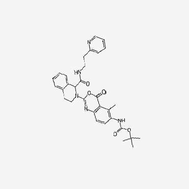 Cc1c(NC(=O)OC(C)(C)C)ccc2nc(N3CCc4ccccc4C3C(=O)NCCc3ccccn3)oc(=O)c12